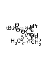 C=C(C)C1CCC(C)=CC1c1c(O)cc(CCC)cc1OCOC(=O)C(C)(C)C